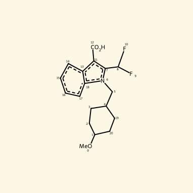 COC1CCC(Cn2c(C(F)F)c(C(=O)O)c3ccccc32)CC1